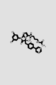 CC(=O)NCCCS(=O)(=O)c1cnc2n1[C@](C)(Cc1ccc(-c3cncnc3)cc1)C(=O)N2c1cc(Cl)cc(Cl)c1